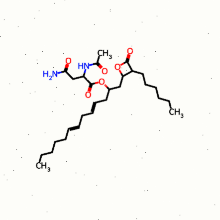 CCCCCC=CCC=CCC(CC1OC(=O)C1CCCCCC)OC(=O)C(CC(N)=O)NC(C)=O